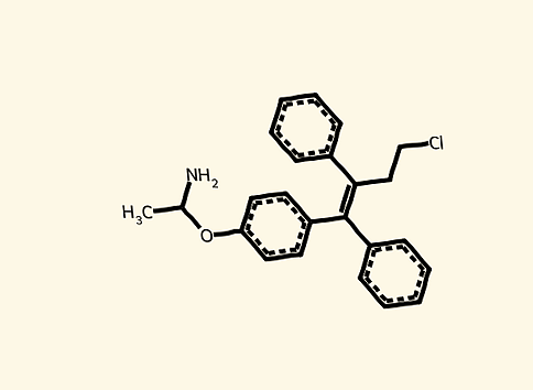 CC(N)Oc1ccc(C(=C(CCCl)c2ccccc2)c2ccccc2)cc1